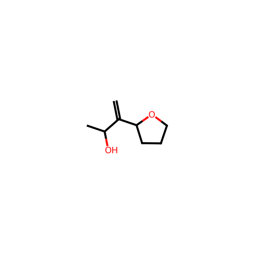 C=C(C(C)O)C1CCCO1